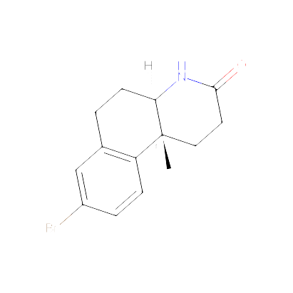 C[C@]12CCC(=O)N[C@@H]1CCc1cc(Br)ccc12